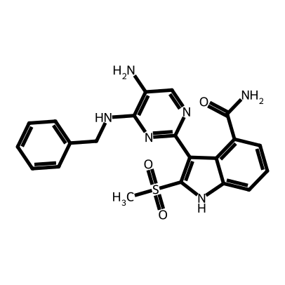 CS(=O)(=O)c1[nH]c2cccc(C(N)=O)c2c1-c1ncc(N)c(NCc2ccccc2)n1